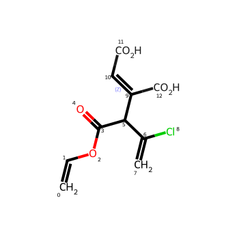 C=COC(=O)C(C(=C)Cl)/C(=C/C(=O)O)C(=O)O